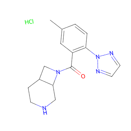 Cc1ccc(-n2nccn2)c(C(=O)N2CC3CCNCC32)c1.Cl